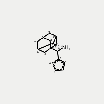 NC(c1cccs1)C12CC3CC(C1)C(F)C(C3)C2